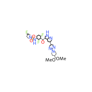 COC(OC)C1CCN(c2ncc(-c3cnc4[nH]cc(C(=O)c5c(F)ccc(NS(=O)(=O)N6CC[C@@H](F)C6)c5F)c4c3)cn2)CC1